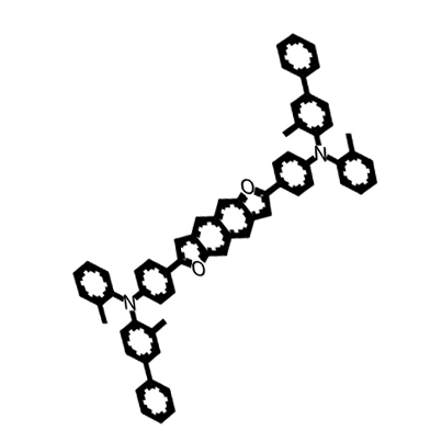 Cc1ccccc1N(c1ccc(-c2cc3cc4cc5oc(-c6ccc(N(c7ccccc7C)c7ccc(-c8ccccc8)cc7C)cc6)cc5cc4cc3o2)cc1)c1ccc(-c2ccccc2)cc1C